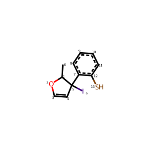 CC1OC=CC1(I)c1ccccc1S